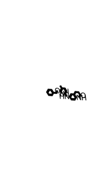 Cc1cnc(Nc2ccc3c(c2)CCC(=O)N3)nc1OCc1ccccc1